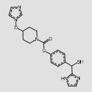 O=C(Oc1ccc(C(S)c2ncc[nH]2)cc1)N1CCC(On2ccnc2)CC1